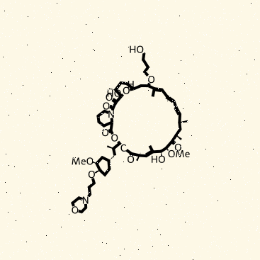 CO[C@@H]1C[C@H](C[C@@H](C)[C@@H]2CC(=O)[C@H](C)/C=C(\C)[C@@H](O)[C@@H](OC)C(=O)[C@H](C)C[C@H](C)/C=C/C=C/C=C(\C)C(OCCCCO)C[C@@H]3CC[C@@H](C)[C@@](O)(O3)C(=O)C(=O)N3CCCCC3C(=O)O2)CC[C@H]1OCCCN1CCOCC1